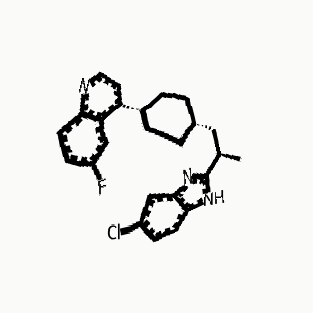 C[C@H](C[C@H]1CC[C@@H](c2ccnc3ccc(F)cc32)CC1)c1nc2cc(Cl)ccc2[nH]1